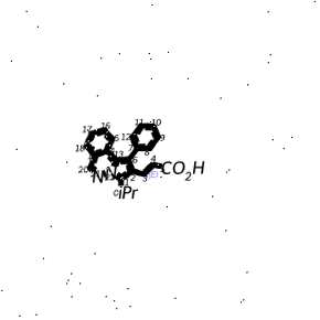 CC(C)c1c(/C=C/C(=O)O)c(-c2ccccc2)c2c3ccccc3cnn12